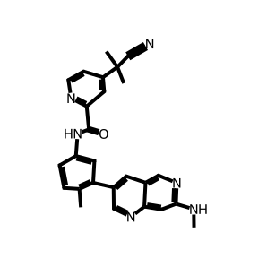 CNc1cc2ncc(-c3cc(NC(=O)c4cc(C(C)(C)C#N)ccn4)ccc3C)cc2cn1